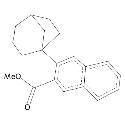 COC(=O)c1cc2ccccc2cc1C12CCCC(CC1)C2